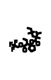 CCC(C(=O)OCC(F)(F)F)C1(OC(=O)C(C)(CC(C)(C)CC)C(C)C)CCCC1